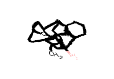 BC12C3CCCC4C3CC3C5CC(CC31)CC2(C=C)C45